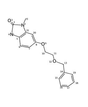 CN1C(=O)[N]c2ccc(OCCOCc3ccccc3)cc21